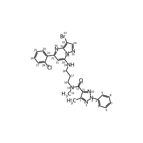 Cc1nn(-c2ccccc2)nc1C(=O)N(C)CCCNc1cc(-c2ccccc2Cl)nc2c(Br)cnn12